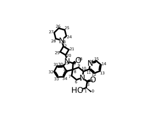 C[C@@H](O)C(=O)N1CCC2(CC1c1ccccn1)C(=O)N(C1CC(N3CCCCC3)C1)c1ccccc12